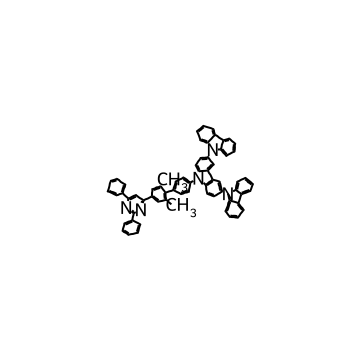 Cc1cc(-c2cc(-c3ccccc3)nc(-c3ccccc3)n2)cc(C)c1-c1ccc(-n2c3ccc(-n4c5ccccc5c5ccccc54)cc3c3cc(-n4c5ccccc5c5ccccc54)ccc32)cc1